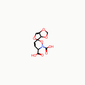 O=C(O)C1C=CC2(OC=C3OCOC32)ON1C(=O)O